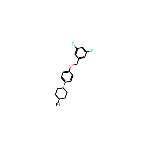 CC[C@H]1CC[C@H](c2ccc(OCc3cc(F)cc(F)c3)cc2)CC1